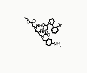 CCOC(=O)CN(N)/C=C(\N)CN(Cc1ccc(N)cc1)C(=O)NCC(=O)N1CCCC1c1ccccc1Br